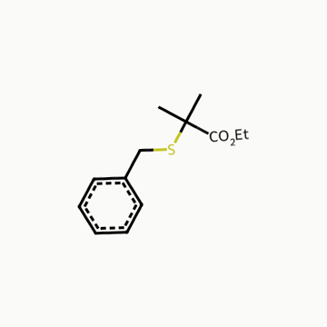 CCOC(=O)C(C)(C)SCc1ccccc1